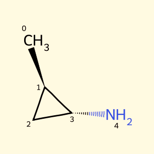 C[C@@H]1C[C@H]1N